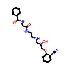 N#Cc1ccccc1OCC(O)CNCCNC(=O)CNC(=O)c1ccccc1